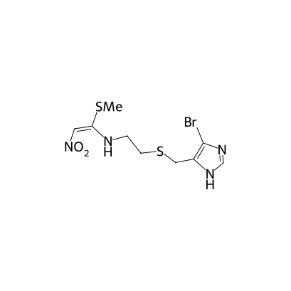 CS/C(=C/[N+](=O)[O-])NCCSCc1[nH]cnc1Br